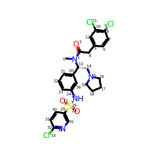 CN(C(=O)Cc1ccc(Cl)c(Cl)c1)[C@H](CN1CCCC1)c1cccc(NS(=O)(=O)c2ccc(Cl)nc2)c1